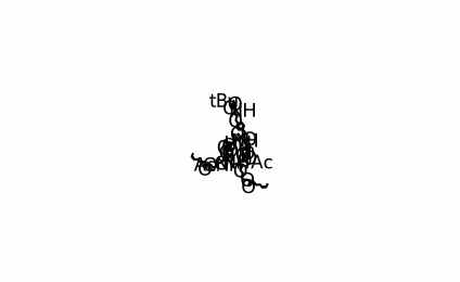 C/C=C\CCCC(=O)O[C@H](C)CCOCC(COP(=O)(O)OCCNC(=O)C(Cc1ccc(OCCNC(=O)OC(C)(C)C)cc1)C(=O)NCCOP(=O)(O)OCC(COCC[C@@H](C)OC(=O)CCC/C=C\C)NC(C)=O)NC(C)=O